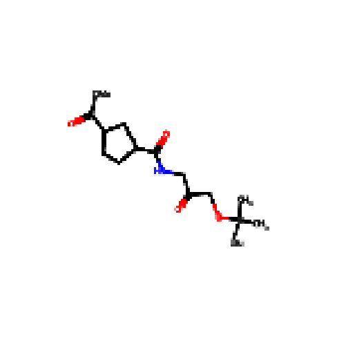 COC(=O)C1CCC(C(=O)NCC(=O)CO[Si](C)(C)C(C)(C)C)C1